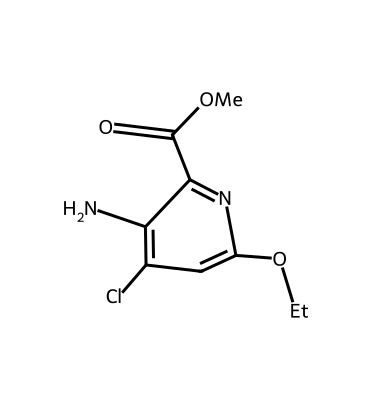 CCOc1cc(Cl)c(N)c(C(=O)OC)n1